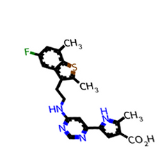 Cc1[nH]c(-c2cc(NCCc3c(C)sc4c(C)cc(F)cc34)ncn2)cc1C(=O)O